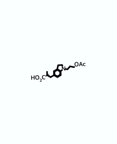 CC(=O)OCCCN1CCc2cc(C[C@@H](C)C(=O)O)ccc21